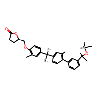 CCC(CC)(c1ccc(OC[C@H]2CCC(=O)O2)c(C)c1)c1ccc(-c2cccc(C(C)(C)O[Si](C)(C)C)c2)c(C)c1